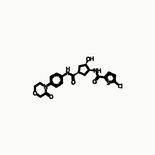 O=C(N[C@H]1C[C@@H](C(=O)Nc2ccc(N3CCOCC3=O)cc2)C[C@@H]1O)c1ccc(Cl)s1